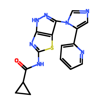 O=C(Nc1nc2[nH]nc(-n3cncc3-c3ccccn3)c2s1)C1CC1